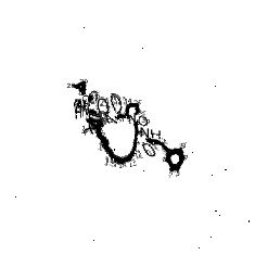 O=C(Cc1ccccc1)N[C@H]1CCCCC/C=C\[C@@H]2C[C@@]2(C(=O)NS(=O)(=O)C2CC2)NC(=O)C2CCCN2C1=O